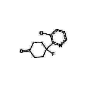 O=C1CCC(F)(c2ncccc2Cl)CC1